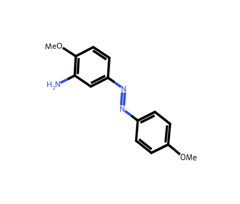 COc1ccc(N=Nc2ccc(OC)c(N)c2)cc1